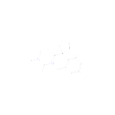 CCC1(CC)C(=O)N(C(C)N(C)C)Cc2ccccc21